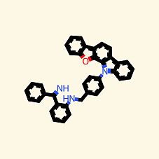 N=C(c1ccccc1)c1ccccc1NCc1ccc(-n2c3ccccc3c3ccc4c5ccccc5oc4c32)cc1